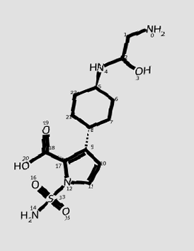 NCC(O)N[C@H]1CC[C@H](c2ccn(S(N)(=O)=O)c2C(=O)O)CC1